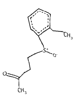 CC(=O)CC[S+]([O-])c1ccccc1C